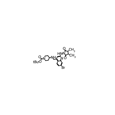 CC1C(=O)N(Nc2cc(CNC3CCN(C(=O)OC(C)(C)C)CC3)c3ccc(Br)cc3n2)C(=O)C1C